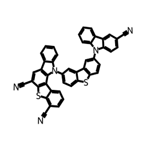 N#Cc1ccc2c(c1)c1ccccc1n2-c1ccc2sc3ccc(-n4c5ccccc5c5cc(C#N)c6sc7c(C#N)cccc7c6c54)cc3c2c1